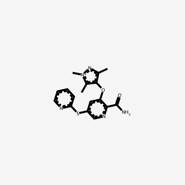 Cc1nn(C)c(C)c1Oc1cc(Sc2ccccn2)cnc1C(N)=O